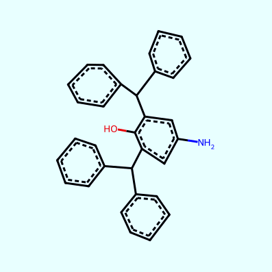 Nc1cc(C(c2ccccc2)c2ccccc2)c(O)c(C(c2ccccc2)c2ccccc2)c1